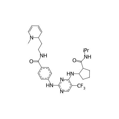 CC(C)NC(=O)C1CCCC1Nc1nc(Nc2ccc(C(=O)NCCC3C=CC=CN3C)cc2)ncc1C(F)(F)F